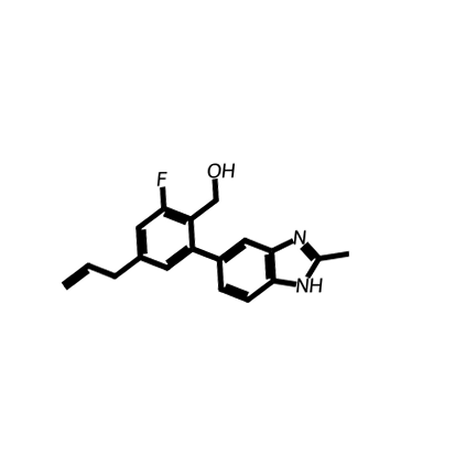 C=CCc1cc(F)c(CO)c(-c2ccc3[nH]c(C)nc3c2)c1